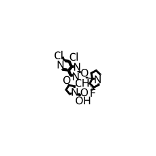 C[C@@H]1[C@H](Oc2nc(OC[C@@]34CCCN3C[C@H](F)C4)nc3c(Cl)c(Cl)ncc23)CCN1C(=O)O